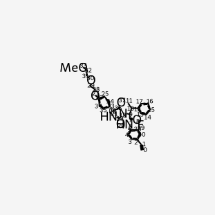 C#Cc1ccc(NC(=O)C(C(C)c2ccccc2)N2C(=O)N[C@H](c3ccc(OCCOCCOC)cc3)C2=O)c(F)c1